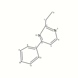 CCc1nccc(-c2ccccc2)n1